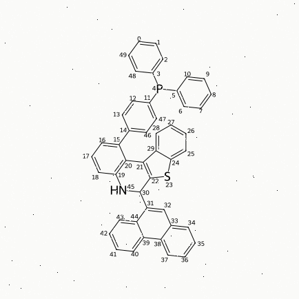 c1ccc(P(c2ccccc2)c2ccc(-c3cccc4c3-c3c(sc5ccccc35)C(c3cc5ccccc5c5ccccc35)N4)cc2)cc1